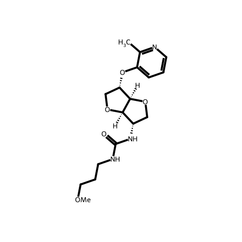 COCCCNC(=O)N[C@H]1CO[C@H]2[C@@H]1OC[C@@H]2Oc1cccnc1C